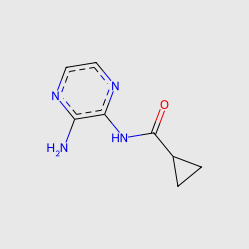 Nc1nccnc1NC(=O)C1CC1